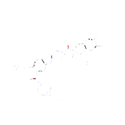 COc1cc2sc(CNC(=O)C3(CC(=O)O)Cc4cc(F)c(F)cc4C3)nc2cc1C(=O)N1CCN(C)CC1